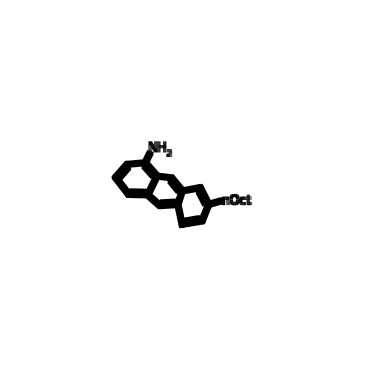 CCCCCCCCc1ccc2cc3cccc(N)c3cc2c1